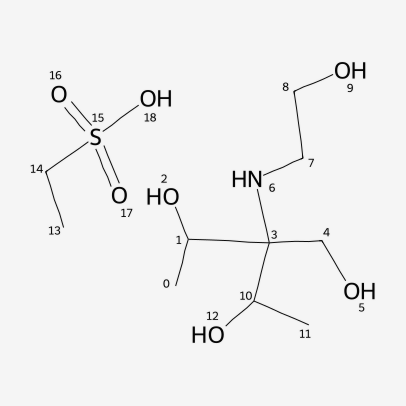 CC(O)C(CO)(NCCO)C(C)O.CCS(=O)(=O)O